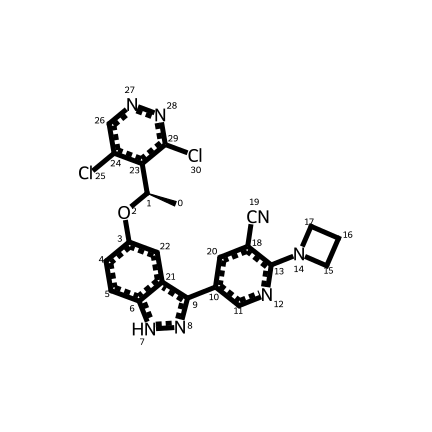 C[C@@H](Oc1ccc2[nH]nc(-c3cnc(N4CCC4)c(C#N)c3)c2c1)c1c(Cl)cnnc1Cl